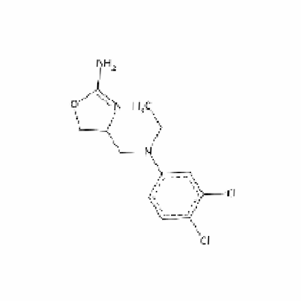 CCN(CC1COC(N)=N1)c1ccc(Cl)c(Cl)c1